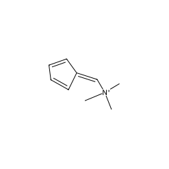 C[N+](C)(C)C=C1C=CC=C1